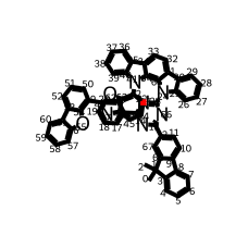 CC1(C)c2ccccc2-c2ccc(-c3nc(-c4ccccc4)nc(-n4c5ccccc5c5ccc6c7ccccc7n(-c7cccc8nc(-c9cccc%10c9oc9ccccc9%10)oc78)c6c54)n3)cc21